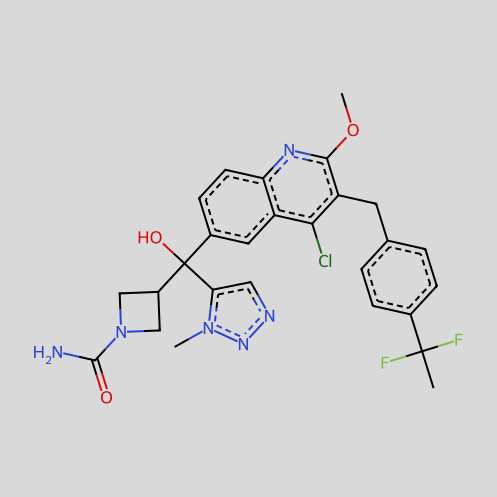 COc1nc2ccc(C(O)(c3cnnn3C)C3CN(C(N)=O)C3)cc2c(Cl)c1Cc1ccc(C(C)(F)F)cc1